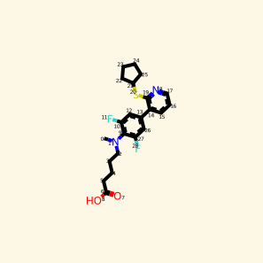 CN(CCCCC(=O)O)c1c(F)cc(-c2cccnc2SC2CCCC2)cc1F